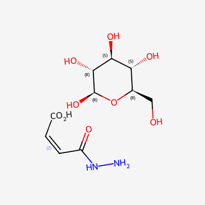 NNC(=O)/C=C\C(=O)O.OC[C@H]1O[C@@H](O)[C@H](O)[C@@H](O)[C@@H]1O